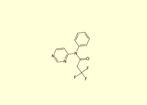 O=C(CC(F)(F)F)N(c1ccccc1)c1ccncn1